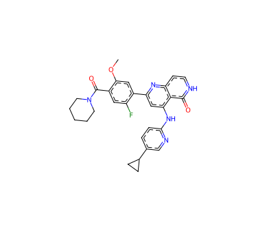 COc1cc(-c2cc(Nc3ccc(C4CC4)cn3)c3c(=O)[nH]ccc3n2)c(F)cc1C(=O)N1CCCCC1